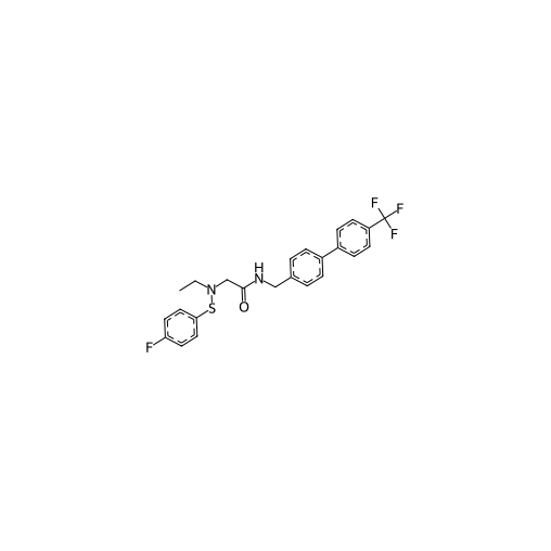 CCN(CC(=O)NCc1ccc(-c2ccc(C(F)(F)F)cc2)cc1)Sc1ccc(F)cc1